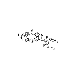 CCc1cnc(N)c2c(C#Cc3c(F)c(OC)cc(OC)c3F)nn([C@H]3CCN(C(=O)OC(C)(C)C)C3)c12